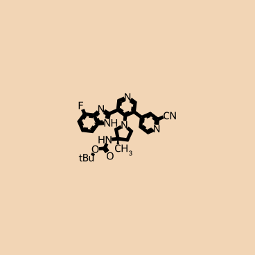 CC(C)(C)OC(=O)N[C@@]1(C)CCN(c2c(-c3ccnc(C#N)c3)cncc2-c2nc3c(F)cccc3[nH]2)C1